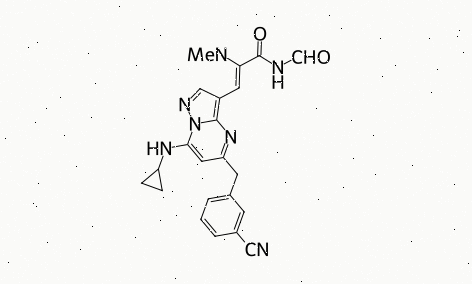 CN/C(=C\c1cnn2c(NC3CC3)cc(Cc3cccc(C#N)c3)nc12)C(=O)NC=O